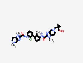 Cc1c(NC(=O)c2nc3c(n2C)CCN(CC2(CO)CC2)C3)cccc1-c1cccc(NC(=O)c2nc3c(n2C)CCN(C)C3)c1Cl